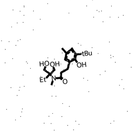 CCC(CO)(CO)N(C)C(=O)CCc1cc(C)cc(C(C)(C)C)c1O